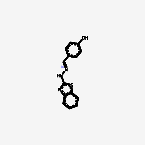 Oc1ccc(/C=N/Nc2nc3ccccc3s2)cc1